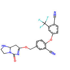 N#Cc1cc(COC2=NC(=O)N3CCNC3C2)ccc1Oc1ccc(C#N)c(C(F)(F)F)c1